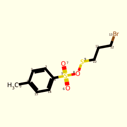 Cc1ccc(S(=O)(=O)OSCCCBr)cc1